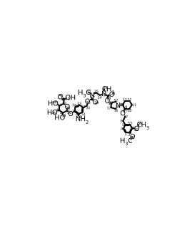 COc1ccc(CCO[C@@H]2CCCC[C@@H]2N2CC[C@H](OC(=O)N(C)CCN(C)C(=O)OCc3ccc(OC4OC(C(=O)O)C(O)C(O)C4O)c(N)c3)C2)cc1OC